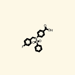 O=C(O)c1ccc(N(Cc2ccc(F)cc2)S(=O)(=O)c2ccccc2)cc1